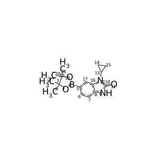 CC1(C)OB(c2ccc3[nH]c(=O)n(C4CC4)c3c2)OC1(C)C